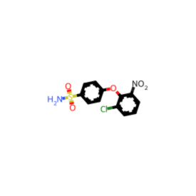 NS(=O)(=O)c1ccc(Oc2c(Cl)cccc2[N+](=O)[O-])cc1